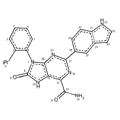 CC(C)c1ccccc1-n1c(=O)[nH]c2c(C(N)=O)nc(-c3ccc4[nH]ccc4c3)nc21